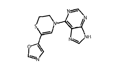 C1=C(c2cnco2)SCCN1c1ncnc2[nH]cnc12